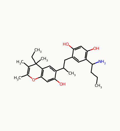 CCCC(N)c1cc(CC(C)c2cc3c(cc2O)OC(C)=C(C)C3(C)CC)c(O)cc1O